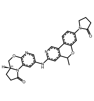 CC1Oc2cc(N3CCCC3=O)ccc2-c2cnc(Nc3cnc4c(c3)N3C(=O)CC[C@@H]3CO4)cc21